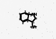 [CH2]CCC1CNc2ccccc21